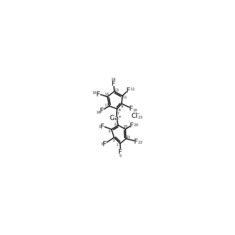 Fc1c(F)c(F)[c]([Ga+][c]2c(F)c(F)c(F)c(F)c2F)c(F)c1F.[Cl-]